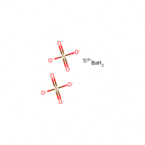 O=S(=O)([O-])[O-].O=S(=O)([O-])[O-].[BaH2].[Ti+4]